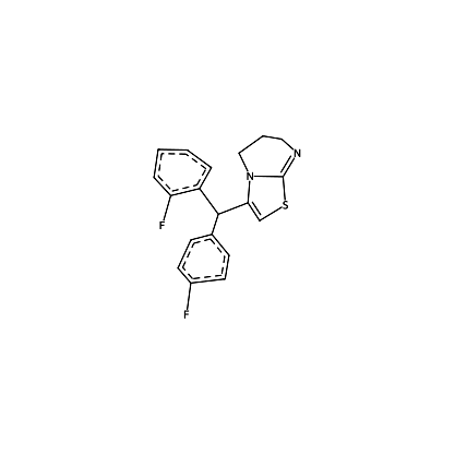 Fc1ccc(C(C2=CSC3=NCCCN23)c2ccccc2F)cc1